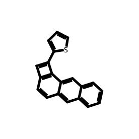 C1=C(c2cccs2)c2c1ccc1cc3ccccc3cc21